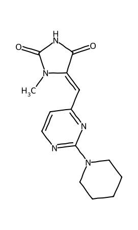 CN1C(=O)NC(=O)/C1=C/c1ccnc(N2CCCCC2)n1